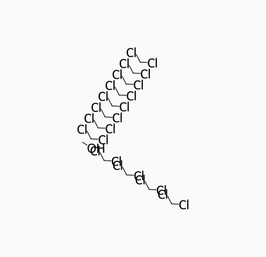 CO.ClCCl.ClCCl.ClCCl.ClCCl.ClCCl.ClCCl.ClCCl.ClCCl.ClCCl.ClCCl.ClCCl.ClCCl